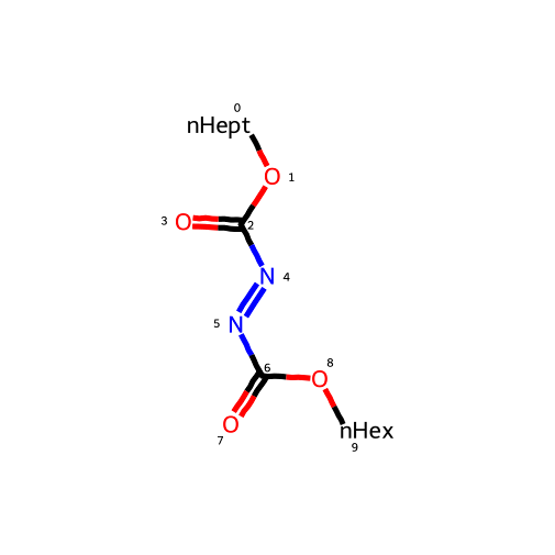 CCCCCCCOC(=O)N=NC(=O)OCCCCCC